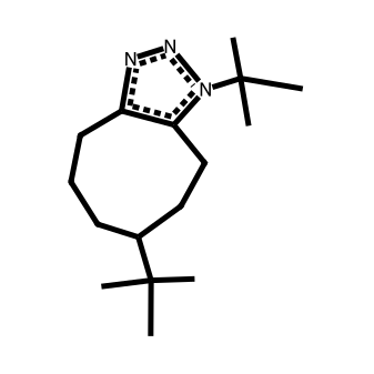 CC(C)(C)C1CCCc2nnn(C(C)(C)C)c2CC1